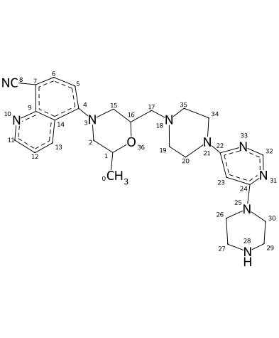 CC1CN(c2ccc(C#N)c3ncccc23)CC(CN2CCN(c3cc(N4CCNCC4)ncn3)CC2)O1